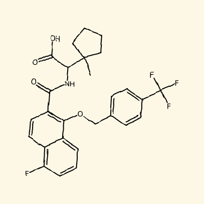 CC1(C(NC(=O)c2ccc3c(F)cccc3c2OCc2ccc(C(F)(F)F)cc2)C(=O)O)CCCC1